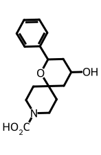 O=C(O)N1CCC2(CC1)CC(O)CC(c1ccccc1)O2